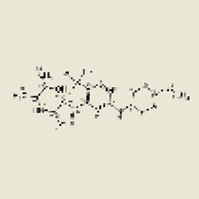 CSN1CCC(Nc2ncc(C(F)(F)F)c(-c3cnc(NC(C)C(C)O)s3)n2)CC1